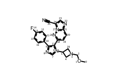 COCN1CC(n2cnc(-c3ccc(F)cc3)c2-c2ccc3ncc(C#N)n3n2)C1